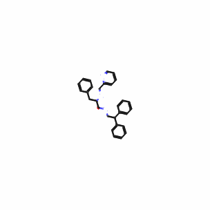 O=C(NCC(c1ccccc1)c1ccccc1)C(Cc1ccccc1)NCc1ccccn1